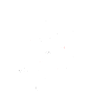 C=C(C(=O)OC)C(C)Oc1ccccc1.C=CC(O)C(=C)C(=O)OC